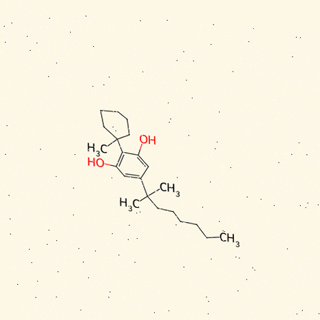 CCCCCCC(C)(C)c1cc(O)c(C2(C)CCCCC2)c(O)c1